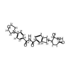 O=C1CCC(N2Cc3ccc(C(=O)NC(=O)c4ccc(N5CCOCC5)cc4)cc3C2)C(=O)N1